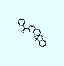 CC1(C)c2ccccc2NC12C=Cc1ccc(C(=O)c3ccccc3)cc1O2